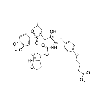 COC(=O)CCCOc1ccc(C[C@H](NC(=O)OC2CO[C@H]3OCCC23)[C@H](O)CN(CC(C)C)S(=O)(=O)c2ccc3c(c2)OCO3)cc1